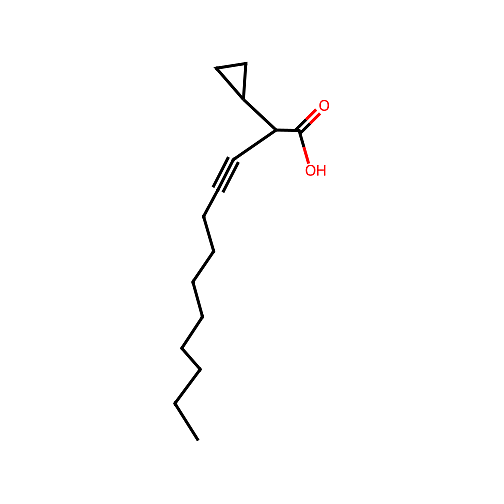 CCCCCCCCC#CC(C(=O)O)C1CC1